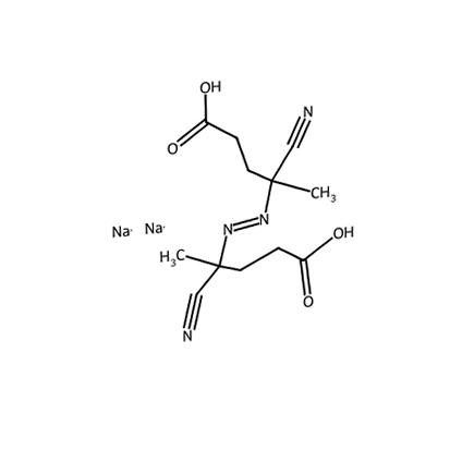 CC(C#N)(CCC(=O)O)N=NC(C)(C#N)CCC(=O)O.[Na].[Na]